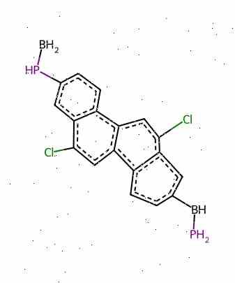 BPc1ccc2c(c1)c(Cl)cc1c3ccc(BP)cc3c(Cl)cc21